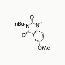 CCCCn1c(=O)c2cc(OC)ccc2n(C)c1=O